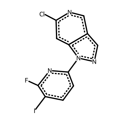 Fc1nc(-n2ncc3cnc(Cl)cc32)ccc1I